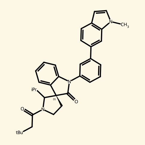 CC(C)C1N(C(=O)CC(C)(C)C)CC[C@@]12C(=O)N(c1cccc(-c3ccc4ccn(C)c4c3)c1)c1ccccc12